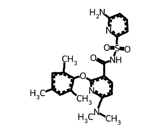 Cc1cc(C)c(Oc2nc(N(C)C)ccc2C(=O)NS(=O)(=O)c2cccc(N)n2)c(C)c1